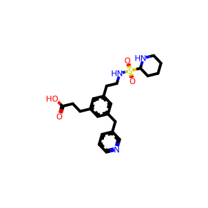 O=C(O)CCc1cc(CCNS(=O)(=O)C2CCCCN2)cc(Cc2cccnc2)c1